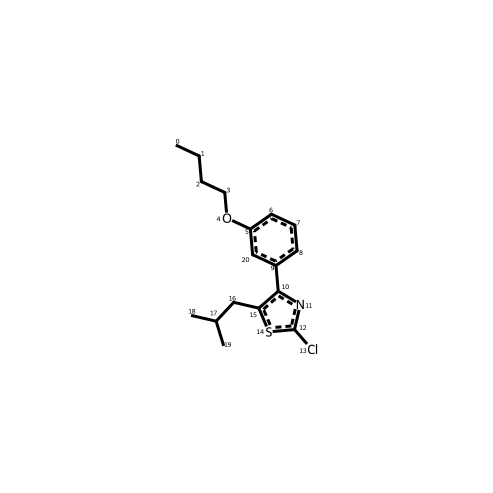 CCCCOc1cccc(-c2nc(Cl)sc2CC(C)C)c1